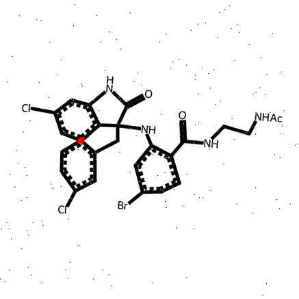 CC(=O)NCCNC(=O)c1ccc(Br)cc1NC1(Cc2cccc(Cl)c2)C(=O)Nc2cc(Cl)ccc21